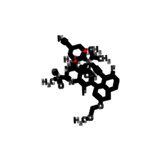 COCOc1cc(-c2nc(C)c3c(N4CCCC(C#N)C4)nc(S(C)(=O)=O)nc3c2F)c2c(C#C[Si](C(C)C)(C(C)C)C(C)C)c(F)ccc2c1